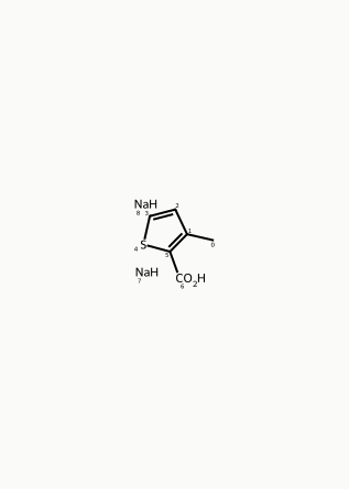 Cc1ccsc1C(=O)O.[NaH].[NaH]